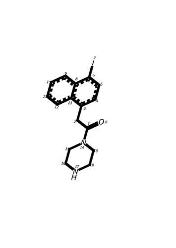 O=C(Cc1ccc(I)c2ccccc12)N1CCNCC1